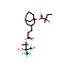 CCC(C)(I)C(=O)OC12CCCC(CC(CCC(=O)OC(C)(C)C(O)(C(F)(F)F)C(F)(F)F)C1)C2